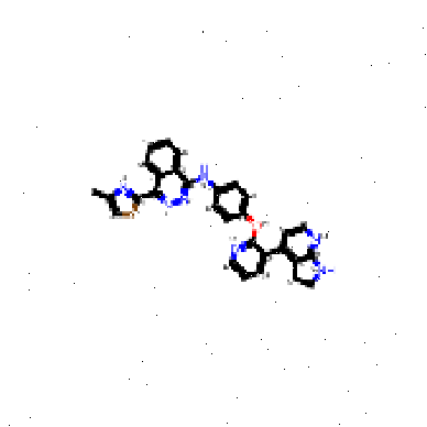 Cc1csc(-c2nnc(Nc3ccc(Oc4ncccc4-c4ccnc5c4CCN5)cc3)c3ccccc23)n1